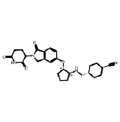 N#C[C@H]1CC[C@H](CN[C@H]2CCC[C@H]2Oc2ccc3c(c2)CN(C2CCC(=O)NC2=O)C3=O)CC1